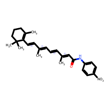 CC1=C(/C=C/C(C)=C/C=C/C(C)=C/C(=O)Nc2ccc([N+](=O)[O-])cc2)C(C)(C)CCC1